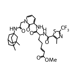 COC(=O)/C=C/CC[C@H](NC(=O)c1sc(C(F)(F)F)nc1C)C(=O)Nc1cccn(CC(=O)NC23CC4CC(C)(C2)C(C)(C4)C3)c1=O